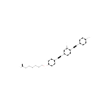 C=C(CCCCCCOc1ccc(C#Cc2ccc(C#Cc3ccc(CCC)cc3)c(CC)c2)cc1)C(=O)O